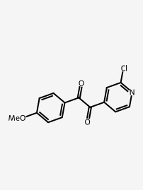 COc1ccc(C(=O)C(=O)c2ccnc(Cl)c2)cc1